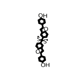 CSC(SC)(c1ccc2oc(-c3ccc(O)cc3)cc2c1)c1ccc2oc(-c3ccc(O)cc3)cc2c1